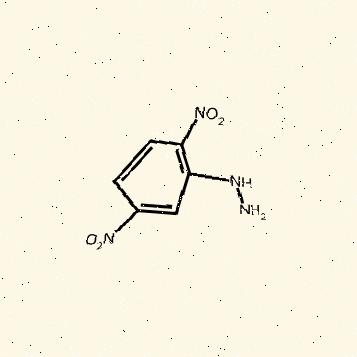 NNc1cc([N+](=O)[O-])ccc1[N+](=O)[O-]